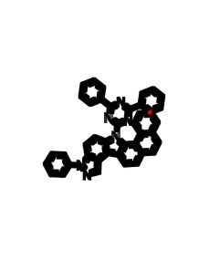 c1ccc(-c2nc(-c3ccccc3)nc(-n3c4ccc5c(cnn5-c5ccccc5)c4c4ccc5ccc6ccccc6c5c43)n2)cc1